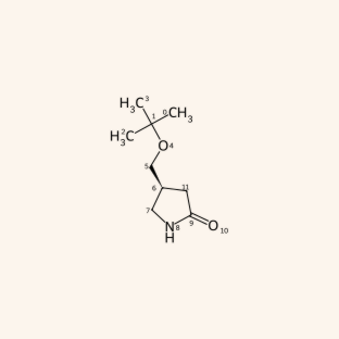 CC(C)(C)OC[C@@H]1CNC(=O)C1